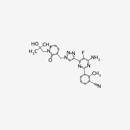 Cc1c(C#N)cccc1-c1nc(N)c(F)c(-c2cn(Cc3cccn(CC(C)(C)O)c3=O)nn2)n1